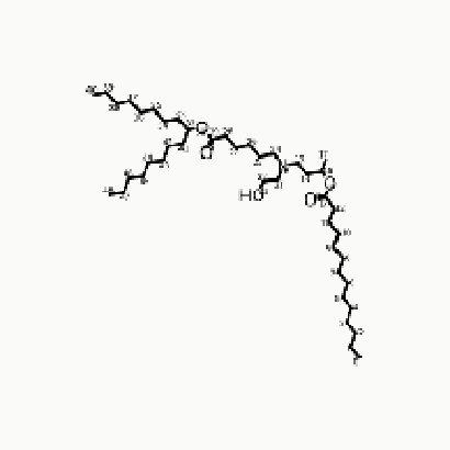 CCCCCCCCCCCCCC(=O)OC(C)CCN(CCO)CCCCCC(=O)OC(CCCCCCCC)CCCCCCCC